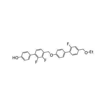 CCOCc1ccc(-c2ccc(OCc3ccc(-c4ccc(O)cc4)c(F)c3F)cc2)c(F)c1